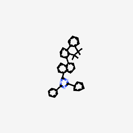 CC1(C)c2ccccc2-c2cccc(-c3cccc4c(-c5nc(-c6ccccc6)nc(-c6ccccc6)n5)cccc34)c2C1(C)C